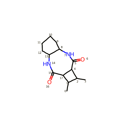 CC1C(C)C2C(=O)NC3CCCCC3NC(=O)C12